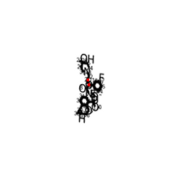 COC(=O)c1c(N(C(=O)OC)[S+]([O-])c2ccc(F)cc2/C=C\CN2CCC(C)(O)CC2)ccc2c1OC[C@H]1CC21